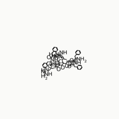 N=C(N)NCCC[C@H](NC(=O)[C@H](Cc1ccccc1)NC(=O)[C@@H](N)Cc1ccccc1)C(=O)C(Cl)C(=O)C(Cl)C(=O)[C@H](CCCNC(=N)N)NC(=O)[C@H](Cc1ccccc1)NC(=O)[C@@H](N)Cc1ccccc1